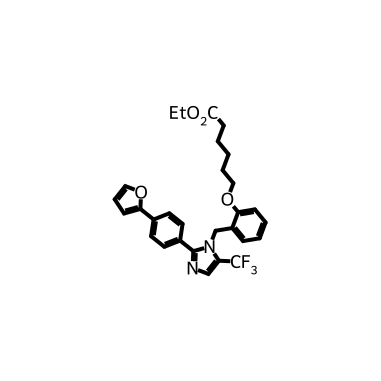 CCOC(=O)CCCCCOc1ccccc1Cn1c(C(F)(F)F)cnc1-c1ccc(-c2ccco2)cc1